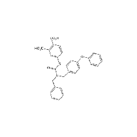 O=C(O)c1ccc(SC(=O)N(Cc2ccccc2)Cc2ccc(Oc3ccccc3)cc2)cc1C(=O)O